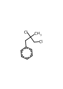 CC(Cl)(CCl)Cc1ccccc1